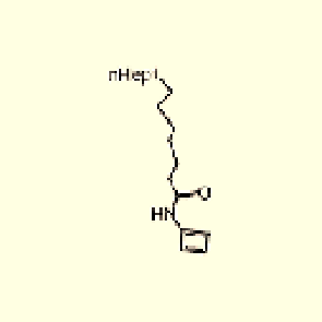 CCCCCCCCCCCCCC(=O)NC1=CC=C1